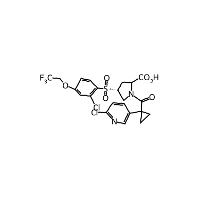 O=C(O)C1C[C@@H](S(=O)(=O)c2ccc(OCC(F)(F)F)cc2Cl)CN1C(=O)C1(c2ccc(Cl)nc2)CC1